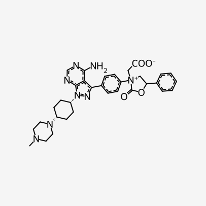 CN1CCN([C@H]2CC[C@@H](n3nc(-c4ccc([N+]5(CC(=O)[O-])CC(c6ccccc6)OC5=O)cc4)c4c(N)ncnc43)CC2)CC1